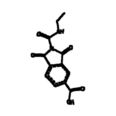 CCNC(=O)N1C(=O)c2ccc(C(=O)O)cc2C1=O